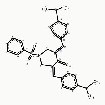 CC(C)c1ccc(/C=C2/CN(S(=O)(=O)c3ccccc3)C/C(=C\c3ccc(C(C)C)cc3)C2=O)cc1